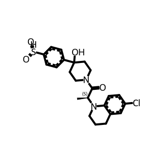 C[C@@H](C(=O)N1CCC(O)(c2ccc([SH](=O)=O)cc2)CC1)N1CCCc2cc(Cl)ccc21